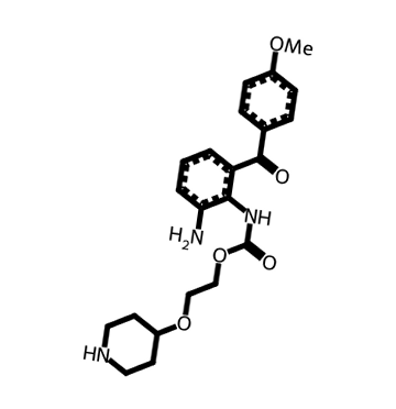 COc1ccc(C(=O)c2cccc(N)c2NC(=O)OCCOC2CCNCC2)cc1